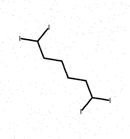 IC(I)CCCCC(I)I